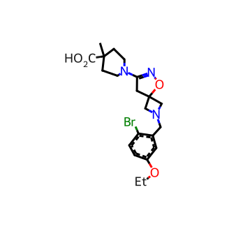 CCOc1ccc(Br)c(CN2CC3(CC(N4CCC(C)(C(=O)O)CC4)=NO3)C2)c1